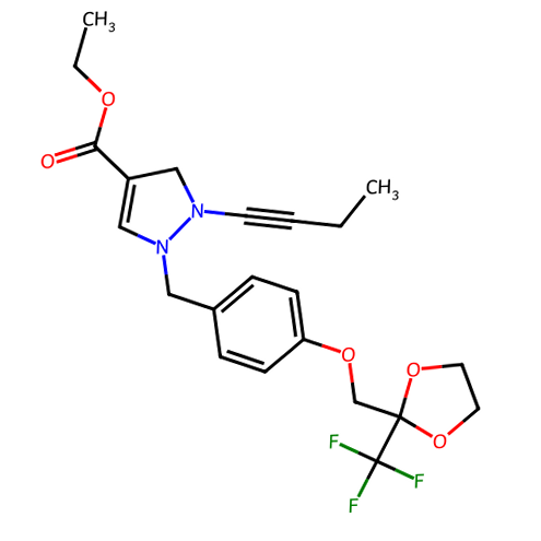 CCC#CN1CC(C(=O)OCC)=CN1Cc1ccc(OCC2(C(F)(F)F)OCCO2)cc1